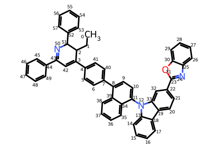 CCC1C(c2ccc(-c3ccc(-n4c5ccccc5c5ccc(-c6nc7ccccc7o6)cc54)c4ccccc34)cc2)=CC(c2ccccc2)=NC1c1ccccc1